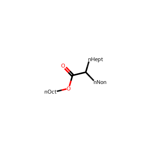 CCCCCCCCCC(CCCCCCC)C(=O)OCCCCCCCC